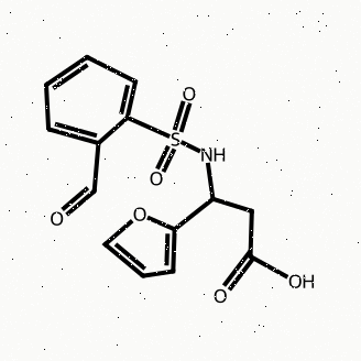 O=Cc1ccccc1S(=O)(=O)NC(CC(=O)O)c1ccco1